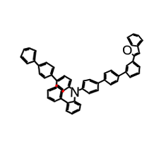 c1ccc(-c2ccc(-c3ccc(N(c4ccc(-c5ccc(-c6cccc(-c7cc8ccccc8o7)c6)cc5)cc4)c4ccccc4-c4ccccc4)cc3)cc2)cc1